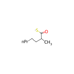 CCCCCC(C)C(=O)[S]